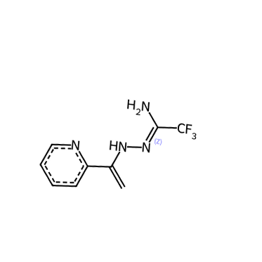 C=C(N/N=C(\N)C(F)(F)F)c1ccccn1